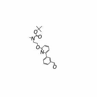 CN(CCOc1cccc(-c2cccc(C=O)c2)n1)C(=O)OC(C)(C)C